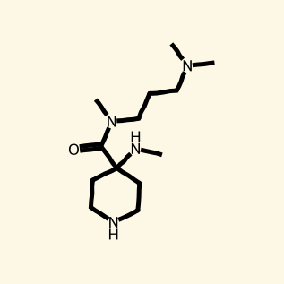 CNC1(C(=O)N(C)CCCN(C)C)CCNCC1